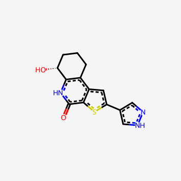 O=c1[nH]c2c(c3cc(-c4cn[nH]c4)sc13)CCC[C@H]2O